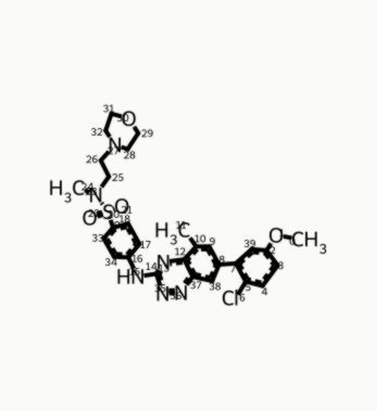 COc1ccc(Cl)c(-c2cc(C)c3nc(Nc4ccc(S(=O)(=O)N(C)CCN5CCOCC5)cc4)nnc3c2)c1